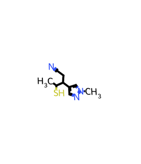 CC(S)C(CC#N)c1cnn(C)c1